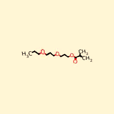 C=C(C)C(=O)OCCCOCCCOCCC